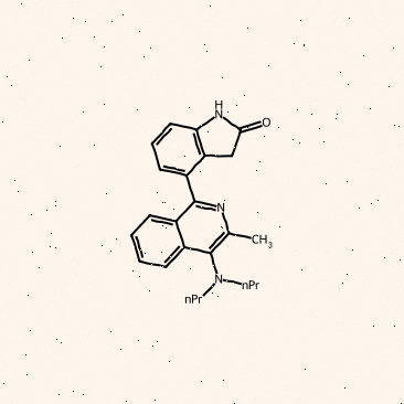 CCCN(CCC)c1c(C)nc(-c2cccc3c2CC(=O)N3)c2ccccc12